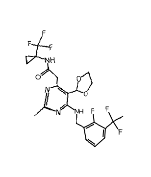 Cc1nc(CC(=O)NC2(C(F)(F)F)CC2)c(C2OCCO2)c(NCc2cccc(C(C)(F)F)c2F)n1